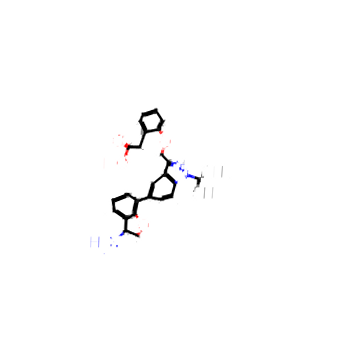 CC(C)n1nc(COc2ccccc2CC(=O)O)c2cc(-c3cccc4c3OCC4N)ccc21